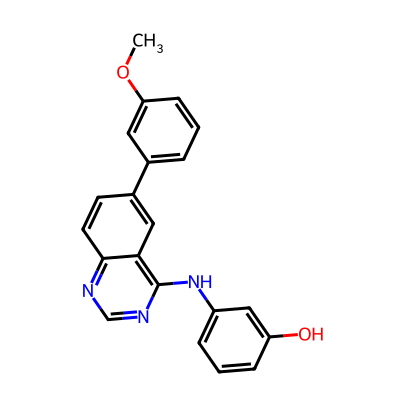 COc1cccc(-c2ccc3ncnc(Nc4cccc(O)c4)c3c2)c1